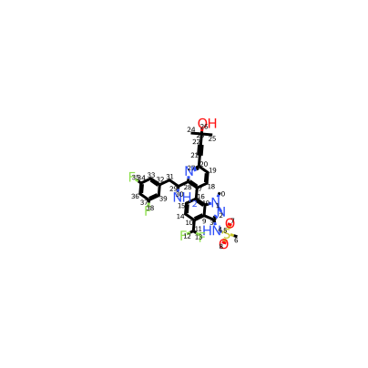 Cn1nc(NS(C)(=O)=O)c2c(C(F)F)ccc(-c3ccc(C#CC(C)(C)O)nc3C(N)Cc3cc(F)cc(F)c3)c21